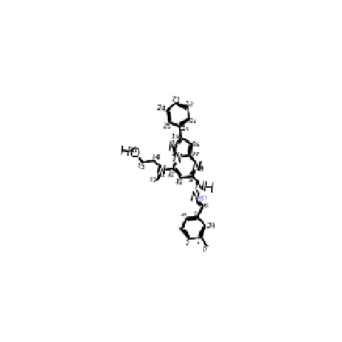 Cc1cccc(/C=N/Nc2cc(N(C)CCO)n3nc(-c4ccccc4)cc3n2)c1